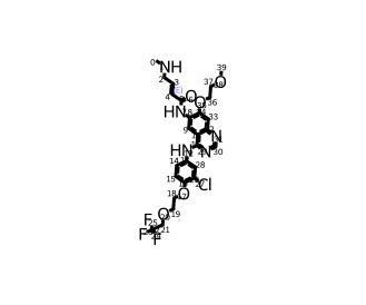 CNC/C=C/C(=O)Nc1cc2c(Nc3ccc(OCCOCC(F)(F)F)c(Cl)c3)ncnc2cc1OCCOC